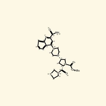 CC(C)(C)OC(=O)N1C[C@@H](N2CCN(c3cc(C(N)=O)nc4ccccc34)CC2)C[C@H]1C(=O)N1CCSC1